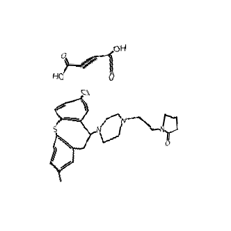 Cc1ccc2c(c1)CC(N1CCN(CCN3CCCC3=O)CC1)c1cc(Cl)ccc1S2.O=C(O)C=CC(=O)O